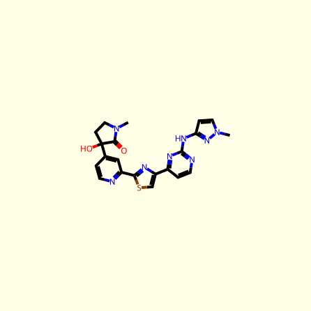 CN1CCC(O)(c2ccnc(-c3nc(-c4ccnc(Nc5ccn(C)n5)n4)cs3)c2)C1=O